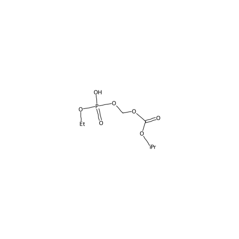 CCOP(=O)(O)OCOC(=O)OC(C)C